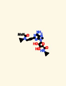 CNC(=O)N(CC#Cc1nc(N)c2ncn([C@@H]3O[C@H](C(=O)NC4CC4)C(O)[C@@H]3O)c2n1)C1CC1